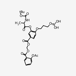 CC(=O)Oc1ccccc1C(=O)OCOC(=O)c1ccc(OCCCON(O)O)c(OC(=O)C(C)NC(=O)OC(C)(C)C)c1